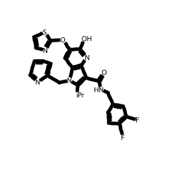 CC(C)c1c(C(=O)NCc2ccc(F)c(F)c2)c2nc(O)c(Oc3nccs3)cc2n1Cc1ccccn1